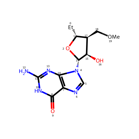 CC[C@H]1O[C@@H](n2cnc3c(=O)[nH]c(N)nc32)[C@H](O)[C@@H]1COC